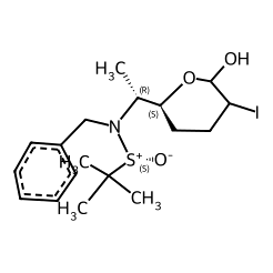 C[C@H]([C@@H]1CCC(I)C(O)O1)N(Cc1ccccc1)[S@+]([O-])C(C)(C)C